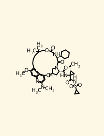 C=C[C@@H]1CC1(NC(=O)[C@@H]1C[C@@H]2CN1C(=O)[C@H](C1CCCCC1)NC(=O)OCC(C)(C)CCCc1cc3c(cc(N(C)C)nc3cc1OC)O2)C(=O)NS(=O)(=O)C1CC1